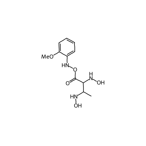 COc1ccccc1NOC(=O)C(NO)C(C)NO